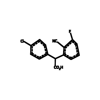 N#Cc1c(F)cccc1C(C(=O)O)c1ccc(Cl)cc1